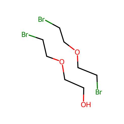 BrCCOCCBr.OCCOCCBr